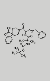 CC(=O)C1(c2ccccc2)CCN(C(=O)C(COCc2ccccc2)NC(=O)C(C)(C)NC(=O)OC(C)(C)C)CC1